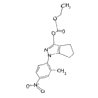 CCOC(=O)Oc1nn(-c2ccc([N+](=O)[O-])cc2C)c2c1CCC2